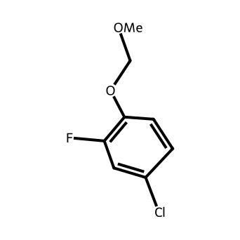 COCOc1ccc(Cl)cc1F